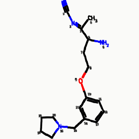 CC(=NC#N)C(N)CCOc1cccc(CN2CCCC2)c1